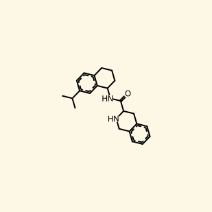 CC(C)c1ccc2c(c1)C(NC(=O)C1Cc3ccccc3CN1)CCC2